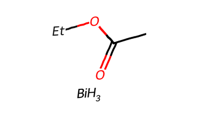 CCOC(C)=O.[BiH3]